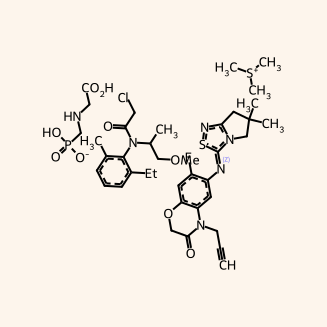 C#CCN1C(=O)COc2cc(F)c(/N=c3\snc4n3CC(C)(C)C4)cc21.CCc1cccc(C)c1N(C(=O)CCl)C(C)COC.C[S+](C)C.O=C(O)CNCP(=O)([O-])O